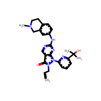 C=CCn1c(=O)c2cnc(Nc3ccc4c(c3)CN(C)CC4)nc2n1-c1cccc(C(C)(C)O)n1